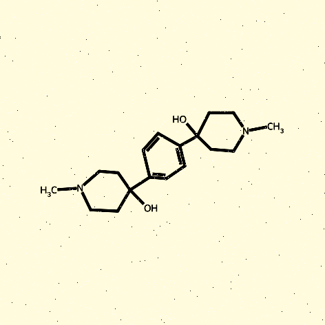 CN1CCC(O)(c2ccc(C3(O)CCN(C)CC3)cc2)CC1